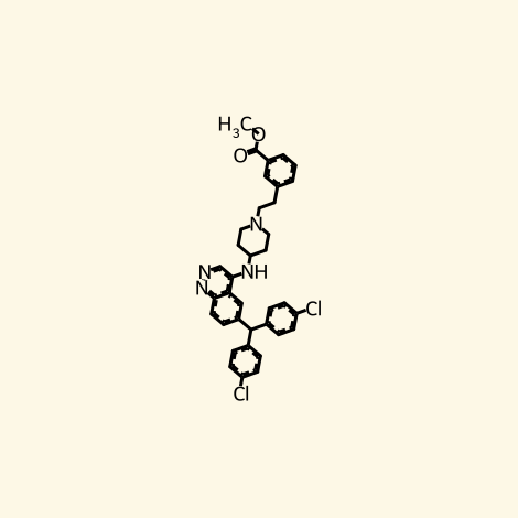 COC(=O)c1cccc(CCN2CCC(Nc3cnnc4ccc(C(c5ccc(Cl)cc5)c5ccc(Cl)cc5)cc34)CC2)c1